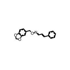 C(=Cc1ccccc1)C=NOCc1ccc2c(c1)OCO2